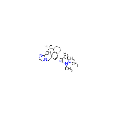 C=C1CCCc2c1cc(Cn1ccnc1C)cc2/C(C)=C/N(C)N(C)C(F)(F)F